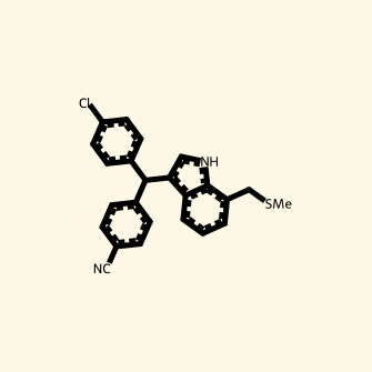 CSCc1cccc2c(C(c3ccc(Cl)cc3)c3ccc(C#N)cc3)c[nH]c12